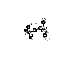 N#Cc1ccc(CN2CCCCC2C(=O)NC2(c3ccc(C(=O)O)cc3)CC2)cc1.O=C(O)c1ccc(C2(NC(=O)C3CC4(CCN3Cc3ccc(C(F)(F)F)cc3)CC4)CC2)cc1